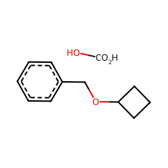 O=C(O)O.c1ccc(COC2CCC2)cc1